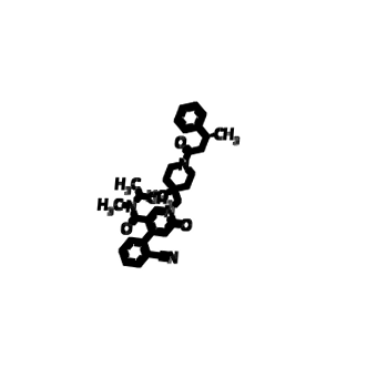 CC(C)N(C)C(=O)c1cn(CC2(O)CCN(C(=O)C[C@@H](C)c3ccccc3)CC2)c(=O)cc1-c1ccccc1C#N